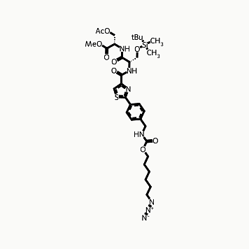 COC(=O)[C@H](COC(C)=O)NC(=O)[C@H](CO[Si](C)(C)C(C)(C)C)NC(=O)c1csc(-c2ccc(CNC(=O)OCCCCCCN=[N+]=[N-])cc2)n1